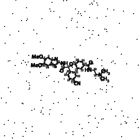 COc1cc2nc(NC(=O)C(Oc3ccc(C(=O)NCCN(C)C)cc3)c3ccc(C#N)cc3)sc2cc1OC